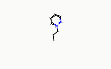 CCC[n+]1ccccn1